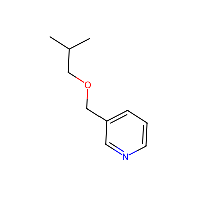 CC(C)COCc1cccnc1